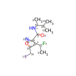 CC(F)c1c(C(=O)NC(C)C(C)C)noc1CI